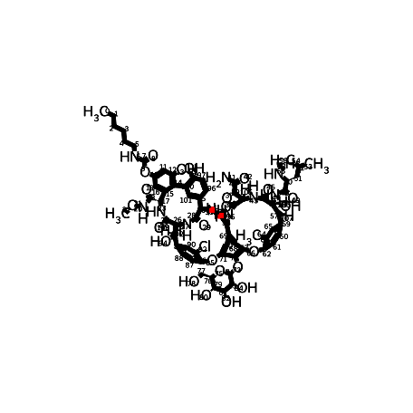 CCCCCCNC(=O)Oc1cc(O)c2c(c1)[C@@H](C(=O)NOC)NC(=O)[C@H]1NC(=O)[C@H](NC(=O)[C@@H]3NC(=O)[C@H](CC(N)=O)NC(=O)[C@H](NC(=O)[C@@H](CC(C)C)NC)[C@H](O)c4ccc(c(C)c4)Oc4cc3cc(c4O[C@@H]3O[C@H](CO)[C@@H](O)[C@H](O)[C@H]3O)Oc3ccc(cc3Cl)[C@H]1O)c1ccc(O)c-2c1